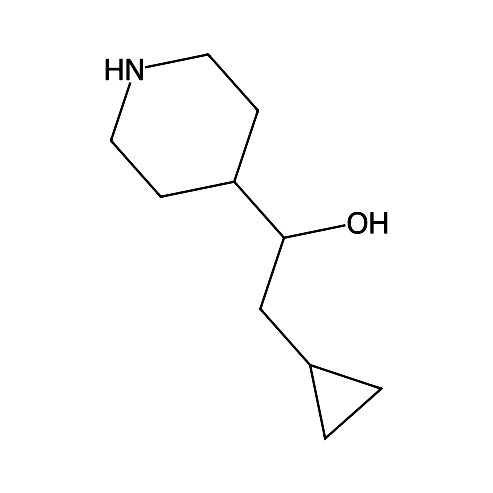 OC(CC1CC1)C1CCNCC1